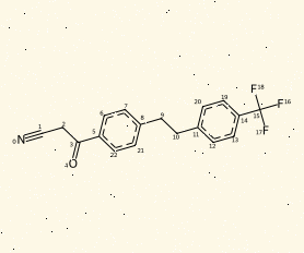 N#CCC(=O)c1ccc(CCc2ccc(C(F)(F)F)cc2)cc1